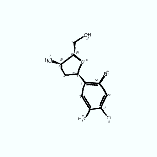 Cc1cc([C@H]2C[C@@H](O)[C@@H](CO)O2)c(Br)cc1Cl